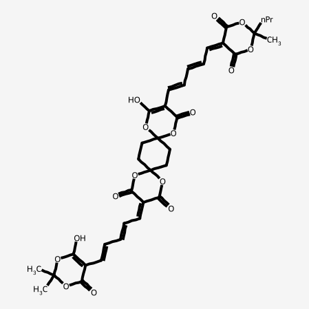 CCCC1(C)OC(=O)C(=C/C=C/C=C/C2=C(O)OC3(CCC4(CC3)OC(=O)C(=C/C=C/C=C/C3=C(O)OC(C)(C)OC3=O)C(=O)O4)OC2=O)C(=O)O1